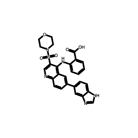 O=C(O)c1ccccc1Nc1c(S(=O)(=O)N2CCOCC2)cnc2ccc(-c3ccc4[nH]cnc4c3)cc12